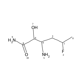 CC(F)CC(N)C(O)C(N)=O